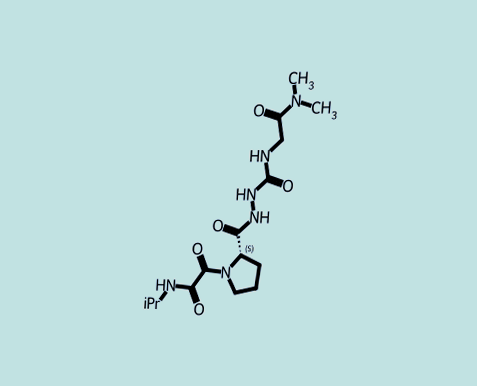 CC(C)NC(=O)C(=O)N1CCC[C@H]1C(=O)NNC(=O)NCC(=O)N(C)C